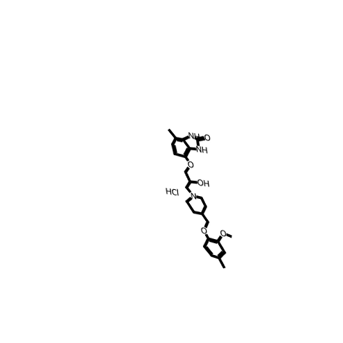 COc1cc(C)ccc1OCC1CCN(CC(O)COc2ccc(C)c3[nH]c(=O)[nH]c23)CC1.Cl